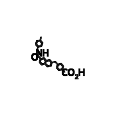 Cc1ccc(CNC(=O)c2ccc3ccc(Cc4ccc(C(=O)O)cc4)cc3c2)cc1